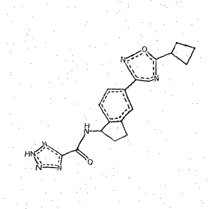 O=C(NC1CCc2cc(-c3noc(C4CCC4)n3)ccc21)c1nn[nH]n1